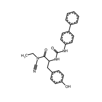 CCN(C#N)C(=O)C(Cc1ccc(O)cc1)NC(=O)Nc1ccc(-c2ccccc2)cc1